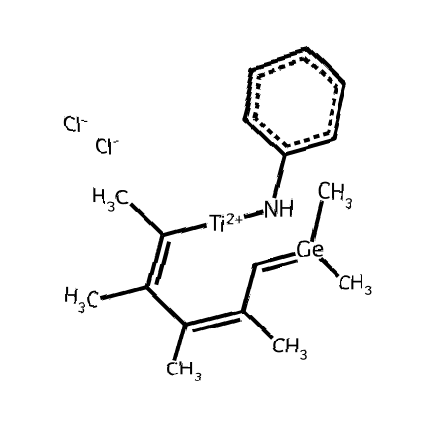 CC([CH]=[Ge]([CH3])[CH3])=C(C)C(C)=[C](C)[Ti+2][NH]c1ccccc1.[Cl-].[Cl-]